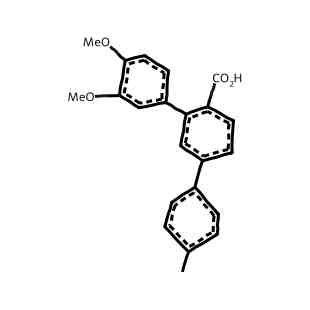 COc1ccc(-c2cc(-c3ccc(C)cc3)ccc2C(=O)O)cc1OC